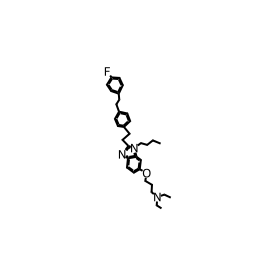 CCCCn1c(CCc2ccc(CCc3ccc(F)cc3)cc2)nc2ccc(OCCCN(CC)CC)cc21